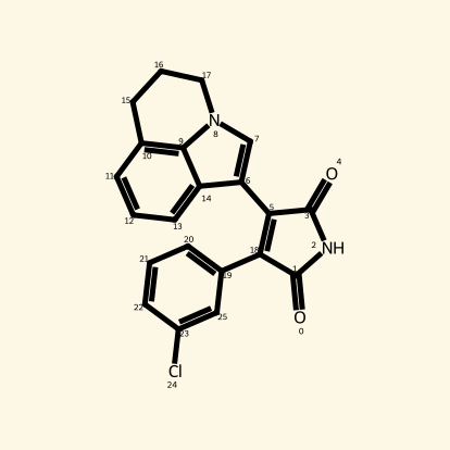 O=C1NC(=O)C(c2cn3c4c(cccc24)CCC3)=C1c1cccc(Cl)c1